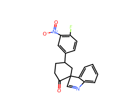 O=C1CCC(c2ccc(F)c([N+](=O)[O-])c2)CC12C=Nc1ccccc12